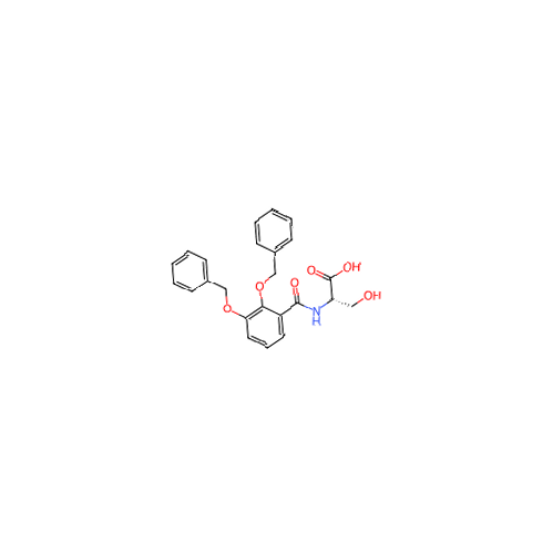 O=C(N[C@@H](CO)C(=O)O)c1cccc(OCc2ccccc2)c1OCc1ccccc1